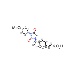 COc1ccc(N2C(=O)CN(C3CCc4cc(/C=C/C(=O)O)ccc43)C2=O)cc1